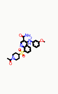 COc1cccc(Nc2c(C(N)=O)cnc3c(S(=O)(=O)C4CCN(C(C)=O)CC4)cccc23)c1